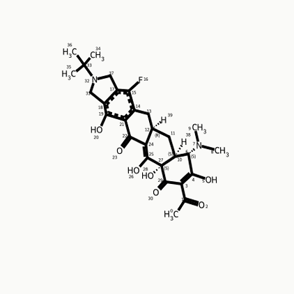 CC(=O)C1=C(O)[C@@H](N(C)C)[C@@H]2C[C@@H]3Cc4c(F)c5c(c(O)c4C(=O)C3=C(O)[C@]2(O)C1=O)CN(C(C)(C)C)C5